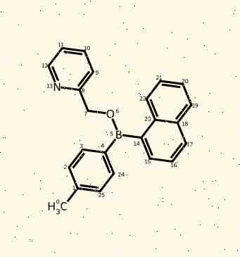 Cc1ccc(B(OCc2ccccn2)c2cccc3ccccc23)cc1